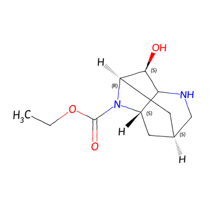 CCOC(=O)N1[C@@H]2C[C@H]3CNC([C@@H]2O)[C@@H]1C3